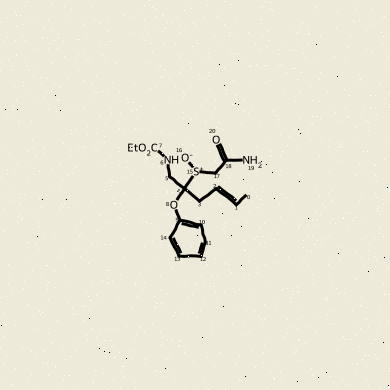 CC=CCC(CNC(=O)OCC)(Oc1ccccc1)[S+]([O-])CC(N)=O